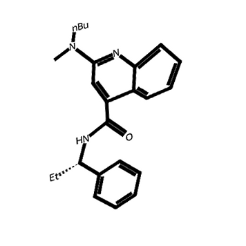 CCCCN(C)c1cc(C(=O)N[C@@H](CC)c2ccccc2)c2ccccc2n1